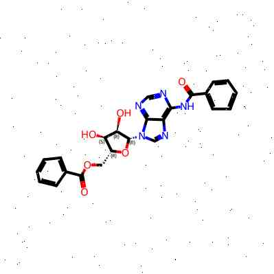 O=C(Nc1ncnc2c1ncn2[C@@H]1O[C@H](COC(=O)c2ccccc2)[C@@H](O)[C@H]1O)c1ccccc1